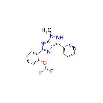 Cn1[nH]c(-c2cccnc2)c2nc(-c3ccccc3OC(F)F)nc1-2